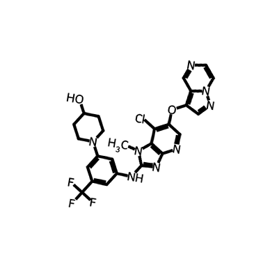 Cn1c(Nc2cc(N3CCC(O)CC3)cc(C(F)(F)F)c2)nc2ncc(Oc3cnn4ccncc34)c(Cl)c21